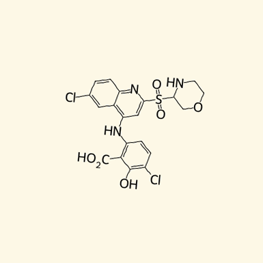 O=C(O)c1c(Nc2cc(S(=O)(=O)C3COCCN3)nc3ccc(Cl)cc23)ccc(Cl)c1O